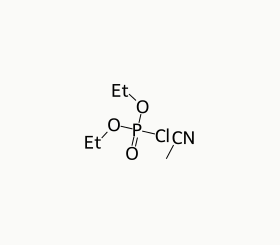 CC#N.CCOP(=O)(Cl)OCC